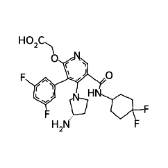 N[C@H]1CCN(c2c(C(=O)NC3CCC(F)(F)CC3)cnc(OCC(=O)O)c2-c2cc(F)cc(F)c2)C1